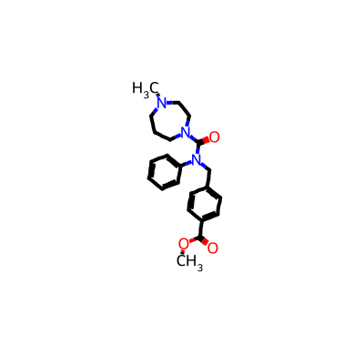 COC(=O)c1ccc(CN(C(=O)N2CCCN(C)CC2)c2ccccc2)cc1